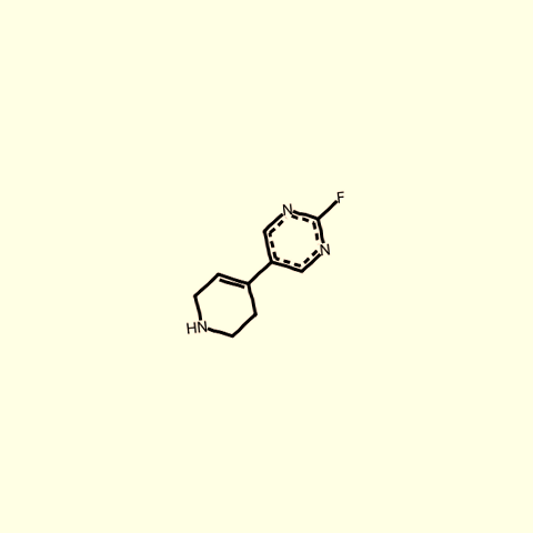 Fc1ncc(C2=CCNCC2)cn1